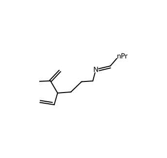 C=CC(CCC/N=C/CCC)C(=C)C